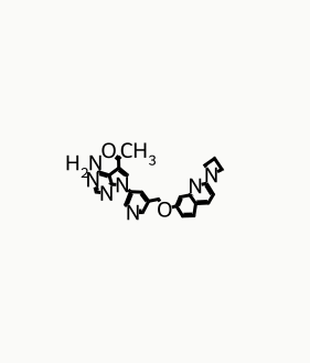 CC(=O)c1cn(-c2cncc(COc3ccc4ccc(N5CCC5)nc4c3)c2)c2ncnc(N)c12